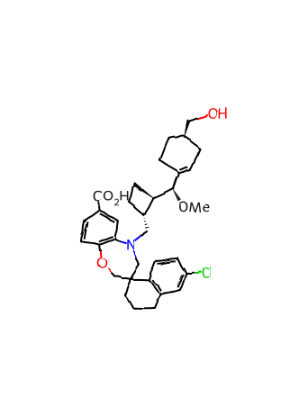 CO[C@H](C1=CC[C@H](CO)CC1)[C@@H]1CC[C@H]1CN1CC2(CCCc3cc(Cl)ccc32)COc2ccc(C(=O)O)cc21